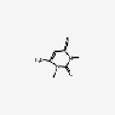 Cn1c(C(F)(F)F)cc(=S)n(C)c1=O